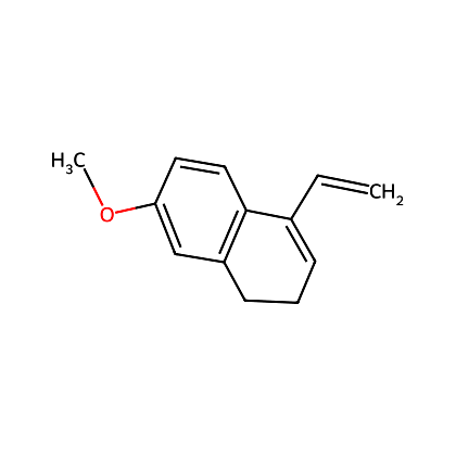 C=CC1=CCCc2cc(OC)ccc21